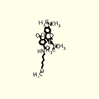 COCCCCCCNC(=O)c1ccc2c(c1)C1(OC2=O)c2ccc(N(C)C)cc2Oc2cc(N(C)C)ccc21